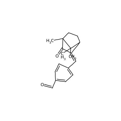 CC12CCC(/C(=C/c3ccc(C=O)cc3)C1=O)C2(C)C